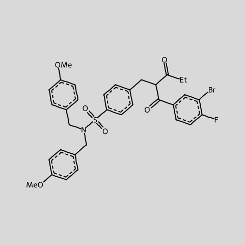 CCC(=O)C(Cc1ccc(S(=O)(=O)N(Cc2ccc(OC)cc2)Cc2ccc(OC)cc2)cc1)C(=O)c1ccc(F)c(Br)c1